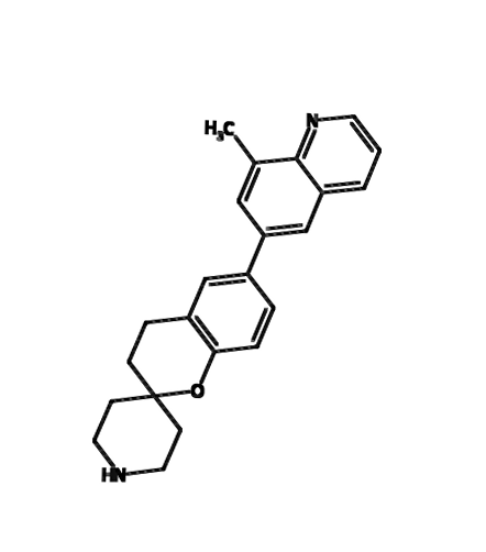 Cc1cc(-c2ccc3c(c2)CCC2(CCNCC2)O3)cc2cccnc12